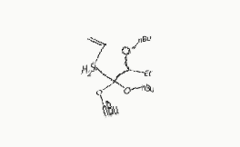 C=C[SiH2]C(OCCCC)(OCCCC)C(CC)OCCCC